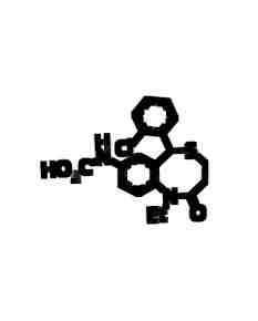 CCN1C(=O)CCSC(c2ccccc2Cl)c2cc(NC(=O)O)ccc21